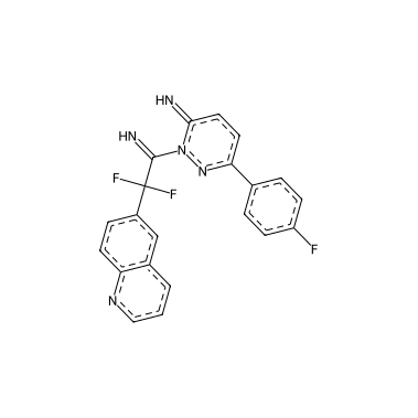 N=C(n1nc(-c2ccc(F)cc2)ccc1=N)C(F)(F)c1ccc2ncccc2c1